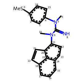 CSc1ccc(N(C)C(=N)N(C)c2ccc3cccc4c3c2C=C4)cc1